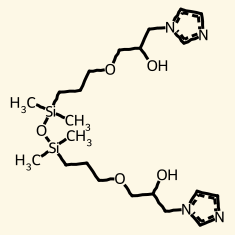 C[Si](C)(CCCOCC(O)Cn1ccnc1)O[Si](C)(C)CCCOCC(O)Cn1ccnc1